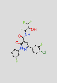 O=C(NC(F)C(O)C(F)F)c1cc(-c2ccc(Cl)c(F)c2)nn(-c2cccc(F)c2)c1=O